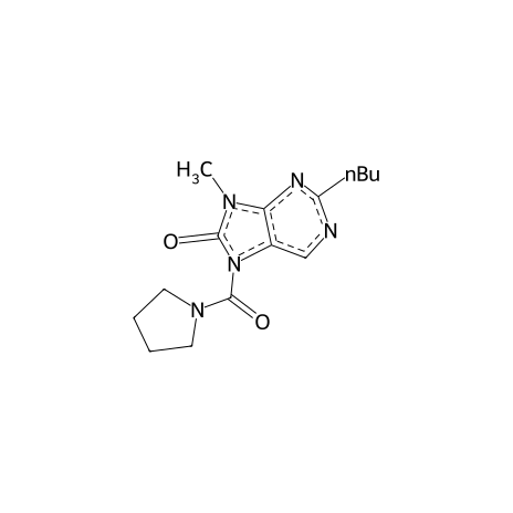 CCCCc1ncc2c(n1)n(C)c(=O)n2C(=O)N1CCCC1